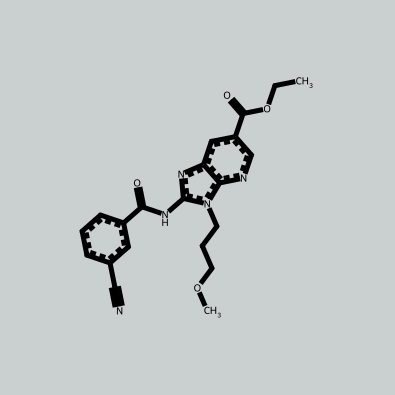 CCOC(=O)c1cnc2c(c1)nc(NC(=O)c1cccc(C#N)c1)n2CCCOC